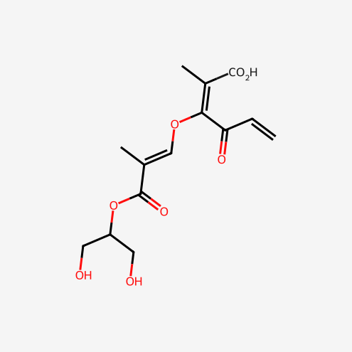 C=CC(=O)/C(O/C=C(\C)C(=O)OC(CO)CO)=C(/C)C(=O)O